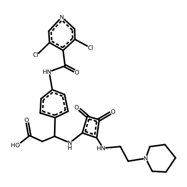 O=C(O)CC(Nc1c(NCCN2CCCCC2)c(=O)c1=O)c1ccc(NC(=O)c2c(Cl)cncc2Cl)cc1